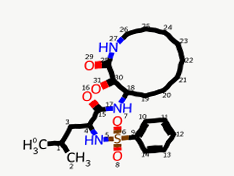 CC(C)CC(NS(=O)(=O)c1ccccc1)C(=O)NC1CCCCCCCCNC(=O)C1=O